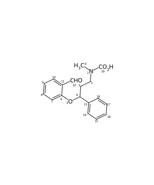 CN(CCC(Oc1ccccc1C=O)c1ccccc1)C(=O)O